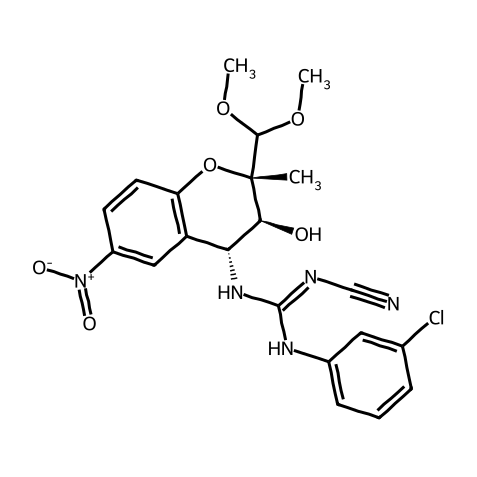 COC(OC)[C@@]1(C)Oc2ccc([N+](=O)[O-])cc2[C@@H](NC(=NC#N)Nc2cccc(Cl)c2)[C@@H]1O